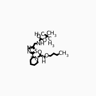 CCCCONC(=O)N1CCCC[C@H]1c1nnc(CNC(=O)OC(C)(C)C)s1